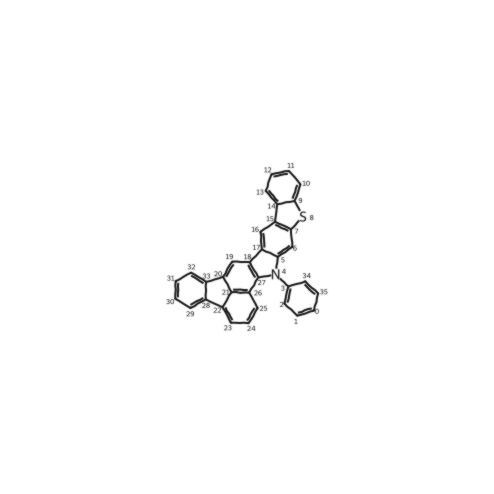 c1ccc(-n2c3cc4sc5ccccc5c4cc3c3cc4c5c(cccc5c32)-c2ccccc2-4)cc1